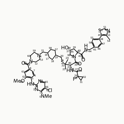 CNc1nc(Nc2ccc(C(=O)N3CCN(CC4CCC(CSC(C)(C)[C@H](NC(=O)C5(F)CC5)C(=O)N5C[C@H](O)C[C@H]5C(=O)NCc5ccc(-c6scnc6C)cc5)CC4)CC3)cc2OC)ncc1Cl